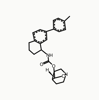 Cc1ccc(-c2ccc3c(c2)C(NC(=O)O[C@@H]2CN4CCC2CC4)CCC3)cc1